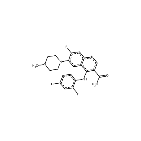 CN1CCN(c2cc3c(Nc4ccc(F)cc4F)c(C(N)=O)cnc3cc2F)CC1